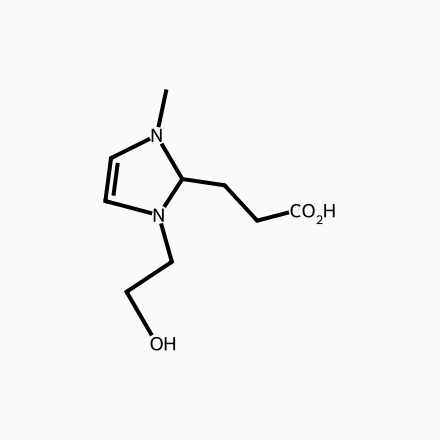 CN1C=CN(CCO)C1CCC(=O)O